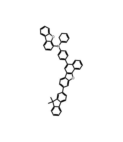 CC1(C)c2ccccc2-c2ccc(-c3ccc4c(c3)oc3c5ccccc5c(-c5ccc(N(C6=CC=CCC6)c6cccc7c6oc6ccccc67)cc5)cc43)cc21